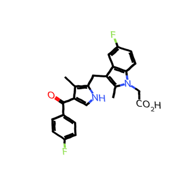 Cc1c(C(=O)c2ccc(F)cc2)c[nH]c1Cc1c(C)n(CC(=O)O)c2ccc(F)cc12